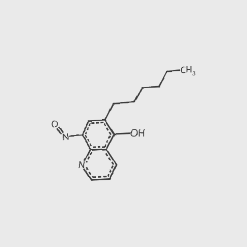 CCCCCCc1cc(N=O)c2ncccc2c1O